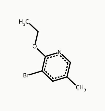 CCOc1ncc(C)cc1Br